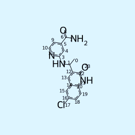 CC(Nc1cc(C(N)=O)ccn1)c1cc2cc(Cl)ccc2[nH]c1=O